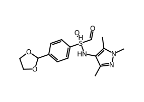 Cc1nn(C)c(C)c1N[SH](=O)(C=O)c1ccc(C2OCCO2)cc1